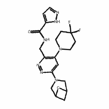 O=C(NCc1nnc(N2CC3CC(C2)O3)cc1N1CCC(F)(F)CC1)c1ccn[nH]1